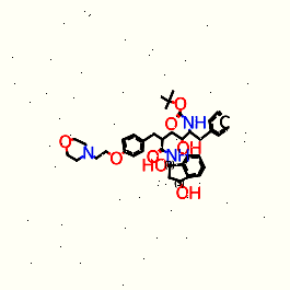 CC(C)(C)OC(=O)NC(Cc1ccccc1)C(O)CC(Cc1ccc(OCCN2CCOCC2)cc1)C(=O)N[C@@]1(O)C[C@H](O)c2ccccc21